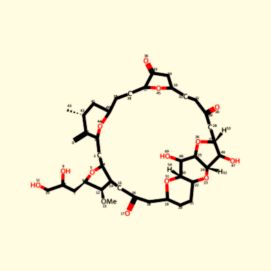 C=C1C2CC3O[C@H](CC(O)CO)[C@H](OC)C3CC(=O)CC3CCC4O[C@@H]5C(O[C@H](CC(=O)CCC6CC(=O)C(CCC(C[C@H]1C)O2)O6)C5O)C(O)[C@H]4O3